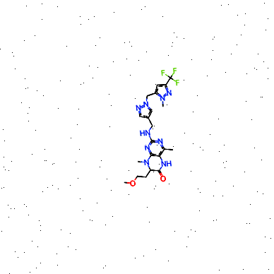 COCCC1C(=O)Nc2c(C)nc(NCc3cnn(Cc4cc(C(F)(F)F)nn4C)c3)nc2N1C